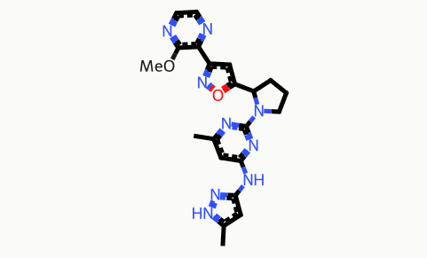 COc1nccnc1-c1cc(C2CCCN2c2nc(C)cc(Nc3cc(C)[nH]n3)n2)on1